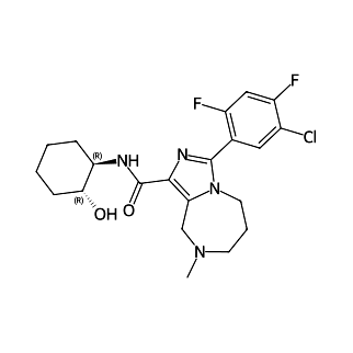 CN1CCCn2c(-c3cc(Cl)c(F)cc3F)nc(C(=O)N[C@@H]3CCCC[C@H]3O)c2C1